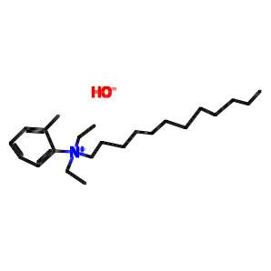 CCCCCCCCCCCC[N+](CC)(CC)c1ccccc1C.[OH-]